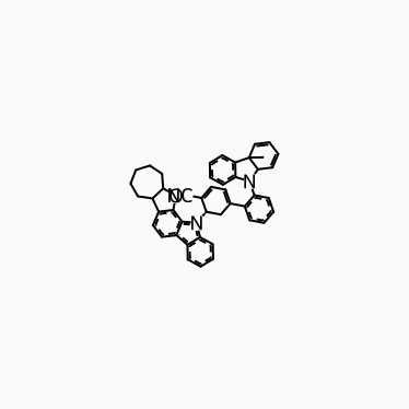 CC12C=CC=CC1N(c1ccccc1C1=CC=C(C#N)[C@H](n3c4ccccc4c4ccc5c(c43)OC3CCCCCC53)C1)c1ccccc12